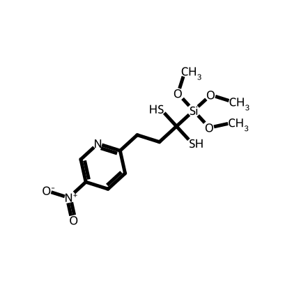 CO[Si](OC)(OC)C(S)(S)CCc1ccc([N+](=O)[O-])cn1